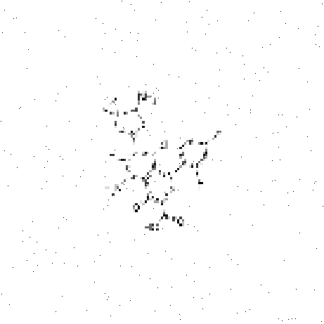 Nc1c(F)c(N2CC(N)C3(CC3)C2)c(Cl)c2c1c(=O)c(C(=O)O)cn2-c1ccc(F)cc1F